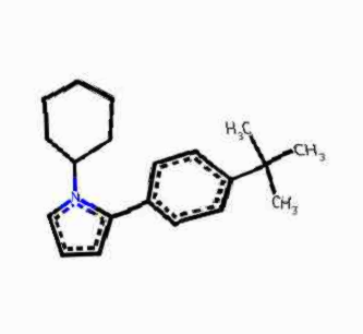 CC(C)(C)c1ccc(-c2cccn2C2CCCCC2)cc1